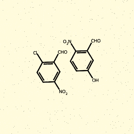 O=Cc1cc(O)ccc1[N+](=O)[O-].O=Cc1cc([N+](=O)[O-])ccc1Cl